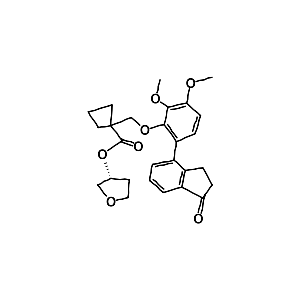 COc1ccc(-c2cccc3c2CCC3=O)c(OCC2(C(=O)O[C@@H]3CCOC3)CCC2)c1OC